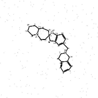 c1ccc2c(c1)CCN(Cc1ccc3c(c1)CC1(CCC4CCCCN4CC1)O3)C2